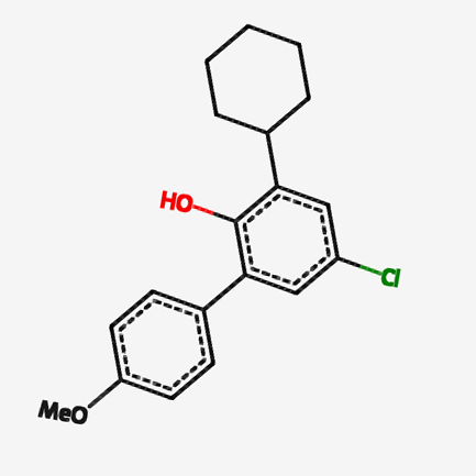 COc1ccc(-c2cc(Cl)cc(C3CCCCC3)c2O)cc1